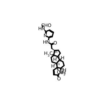 C[C@]12C=CC(=O)N[C@@H]1CC[C@@H]1[C@@H]2CC[C@]2(C)[C@@H](CC(=O)Nc3cccc(NC=O)n3)CC[C@@H]12